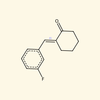 O=C1CCCC/C1=C\c1cccc(F)c1